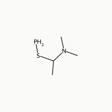 CC(SP)N(C)C